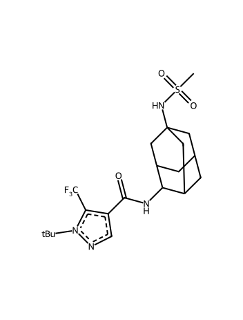 CC(C)(C)n1ncc(C(=O)NC2C3CC4CC2CC(NS(C)(=O)=O)(C4)C3)c1C(F)(F)F